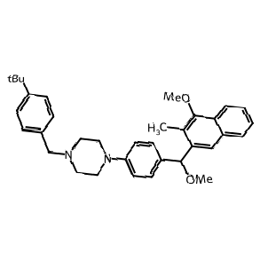 COc1c(C)c(C(OC)c2ccc(N3CCN(Cc4ccc(C(C)(C)C)cc4)CC3)cc2)cc2ccccc12